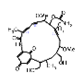 COC1/C=C\C=C(/C)C(=O)NC2=CC(=O)C=C(C2=O)C(CO)C(C)CC(CO)C(OC)C/C=C(\C)C1OC(N)=O